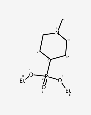 CCOP(=O)(OCC)C1CCN(C)CC1